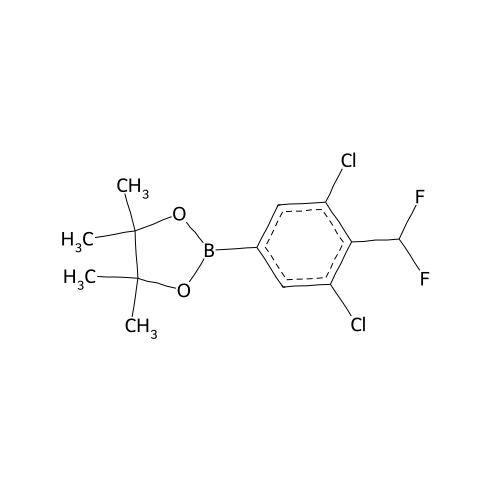 CC1(C)OB(c2cc(Cl)c(C(F)F)c(Cl)c2)OC1(C)C